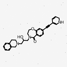 O=C1c2ccc(C#CC3=CNCC=C3)cc2OCCN1CC(O)CN1CCc2ccccc2C1